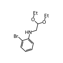 CCOC(CNc1ccccc1Br)OCC